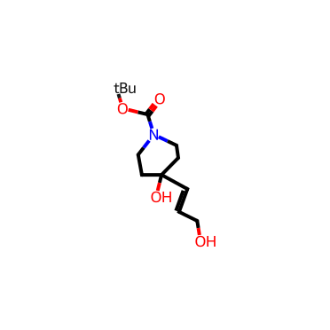 CC(C)(C)OC(=O)N1CCC(O)(C=CCO)CC1